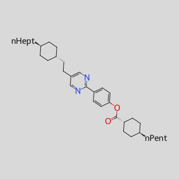 CCCCCCC[C@H]1CC[C@H](CCc2cnc(-c3ccc(OC(=O)[C@H]4CC[C@H](CCCCC)CC4)cc3)nc2)CC1